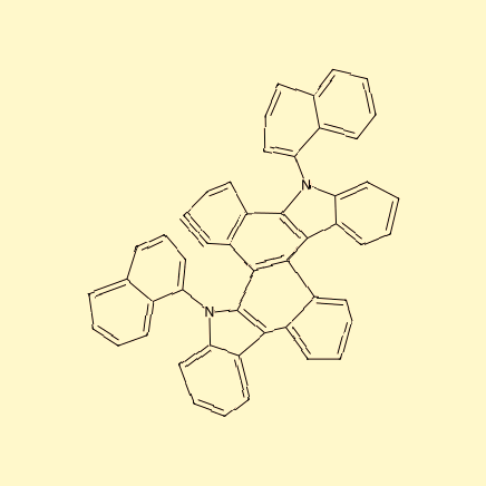 c1ccc2c(c#1)c1c(c3ccccc3c3c4ccccc4n(-c4cccc5ccccc45)c31)c1c3ccccc3n(-c3cccc4ccccc34)c21